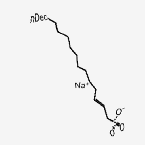 CCCCCCCCCCCCCCCCCCCC=CCS(=O)(=O)[O-].[Na+]